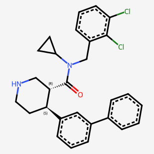 O=C([C@H]1CNCC[C@@H]1c1cccc(-c2ccccc2)c1)N(Cc1cccc(Cl)c1Cl)C1CC1